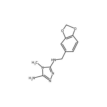 Cn1c(N)nnc1NCc1ccc2c(c1)OCO2